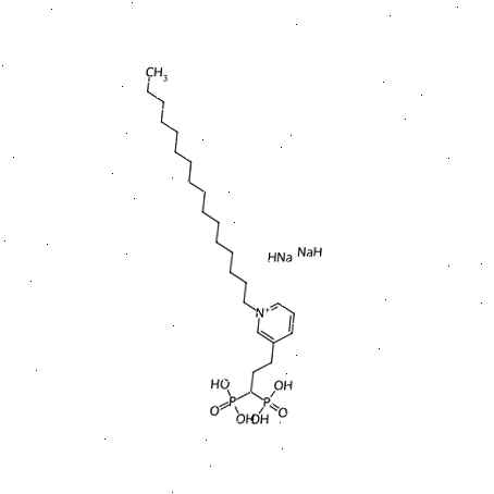 CCCCCCCCCCCCCCCC[n+]1cccc(CCC(P(=O)(O)O)P(=O)(O)O)c1.[NaH].[NaH]